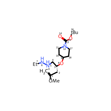 C=C(C[C@H](CNNCC)OC1CCN(C(=O)OC(C)(C)C)CC1)OC